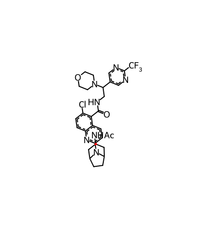 CC(=O)NC1CC2CCC(C1)N2c1ccc2c(C(=O)NCC(c3cnc(C(F)(F)F)nc3)N3CCOCC3)c(Cl)ccc2n1